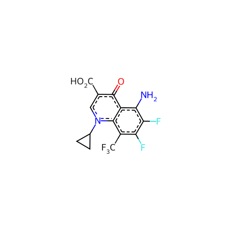 Nc1c(F)c(F)c(C(F)(F)F)c2c1c(=O)c(C(=O)O)cn2C1CC1